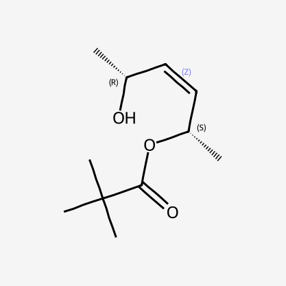 C[C@@H](O)/C=C\[C@H](C)OC(=O)C(C)(C)C